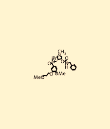 COCCCOc1cc(C(=O)N(C[C@@H]2CN(C)C[C@@H]2OC(=O)NCc2ccccc2)C(C)C)ccc1OC